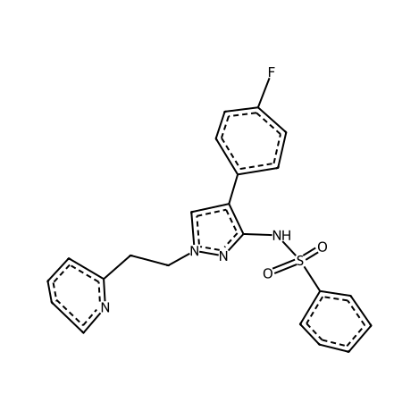 O=S(=O)(Nc1nn(CCc2ccccn2)cc1-c1ccc(F)cc1)c1ccccc1